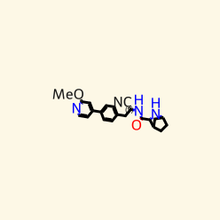 COc1cc(-c2ccc(C[C@@H](C#N)NC(=O)C3NC4CCC3C4)cc2)ccn1